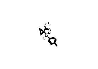 COC(=O)C1(S(=O)(=O)c2ccc(F)cc2)CC1